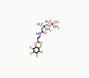 CC(C)(COC(C)(C)O)CC(=O)N/C=C/C(=O)Oc1c(F)c(F)c(F)c(F)c1F